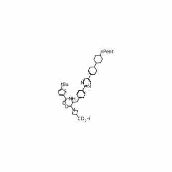 CCCCCC1CCC(C2CC=C(c3cnc(-c4ccc(CC(NC(=O)c5ccc(C(C)(C)C)s5)C(=O)N5CC(C(=O)O)C5)cc4)nc3)CC2)CC1